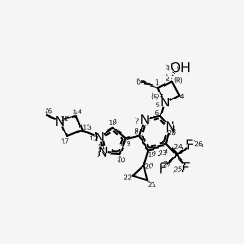 C[C@H]1[C@H](O)CN1c1nc(-c2cnn(C3CN(C)C3)c2)c(C2CC2)c(C(F)(F)F)n1